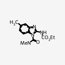 CCOC(=O)Nc1nc2cc(C)ccc2n1C(=O)NC